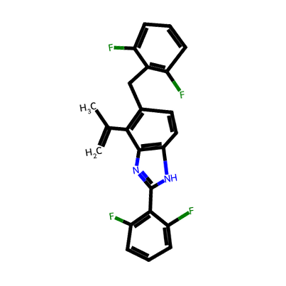 C=C(C)c1c(Cc2c(F)cccc2F)ccc2[nH]c(-c3c(F)cccc3F)nc12